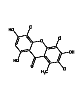 Cc1c(Cl)c(O)c(Cl)c2oc3c(Cl)c(O)cc(O)c3c(=O)c12